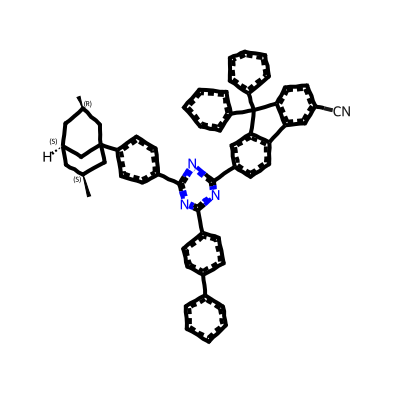 C[C@@H]1C[C@@H]2C[C@H](C)CC(c3ccc(-c4nc(-c5ccc(-c6ccccc6)cc5)nc(-c5ccc6c(c5)C(c5ccccc5)(c5ccccc5)c5ccc(C#N)cc5-6)n4)cc3)(C1)C2